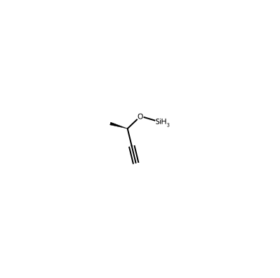 C#C[C@@H](C)O[SiH3]